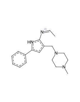 C/C=N\c1[nH]c(-c2ccccc2)cc1CN1CCN(C)CC1